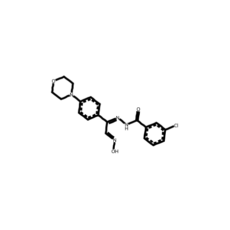 O=C(NN=C(C=NO)c1ccc(N2CCOCC2)cc1)c1cccc(Cl)c1